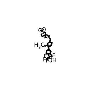 CCc1cc(CN2CC3(CCS(=O)(=O)C3)C2)ccc1-c1ccc2c(c1)C(F)(F)C2(O)C(F)(F)F